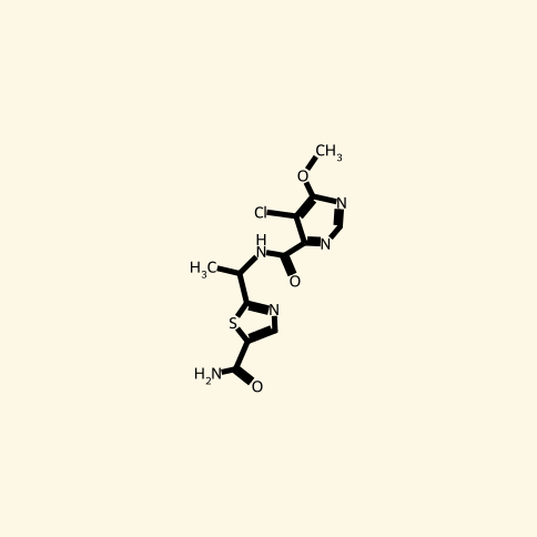 COc1ncnc(C(=O)NC(C)c2ncc(C(N)=O)s2)c1Cl